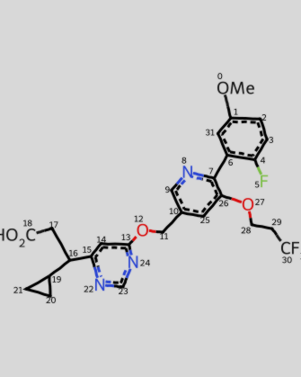 COc1ccc(F)c(-c2ncc(COc3cc(C(CC(=O)O)C4CC4)ncn3)cc2OCCC(F)(F)F)c1